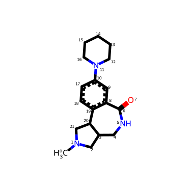 CN1CC2CNC(=O)c3cc(N4CCCCC4)ccc3C2C1